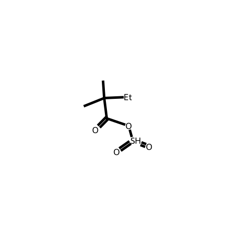 CCC(C)(C)C(=O)O[SH](=O)=O